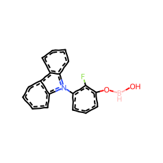 OBOc1cccc(-n2c3ccccc3c3ccccc32)c1F